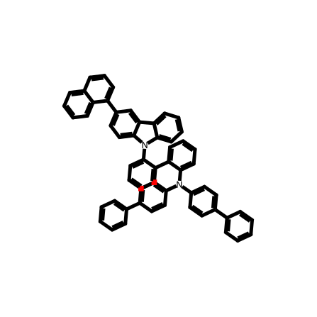 c1ccc(-c2ccc(N(c3ccc(-c4ccccc4)cc3)c3ccccc3-c3ccccc3-n3c4ccccc4c4cc(-c5cccc6ccccc56)ccc43)cc2)cc1